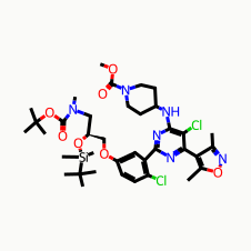 COC(=O)N1CCC(Nc2nc(-c3cc(OC[C@H](CN(C)C(=O)OC(C)(C)C)O[Si](C)(C)C(C)(C)C)ccc3Cl)nc(-c3c(C)noc3C)c2Cl)CC1